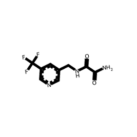 NC(=O)C(=O)NCc1cncc(C(F)(F)F)c1